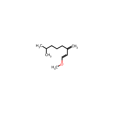 C=C(C=COC)CCCC(C)C